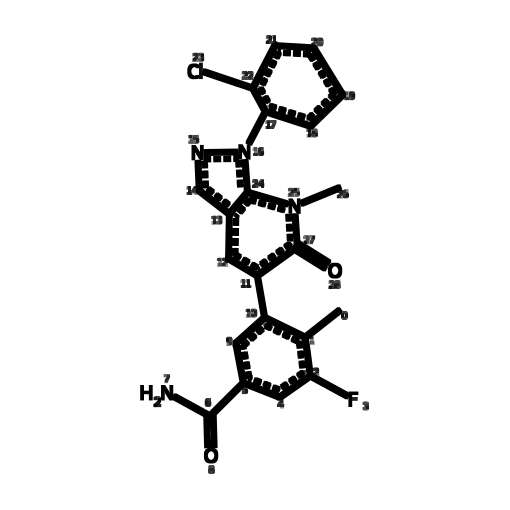 Cc1c(F)cc(C(N)=O)cc1-c1cc2cnn(-c3ccccc3Cl)c2n(C)c1=O